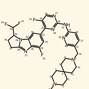 CN1CCC2(CC1)CCN(Cc1ccc(Nc3ncc(F)c(-c4cc(F)c5nc6n(c5c4)C(C(F)F)CC6)n3)nc1)CC2